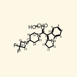 O=C(c1c2n(c3ccccc13)CCC2)N1CCC(N2CC(F)(F)C2)CC1.O=CO